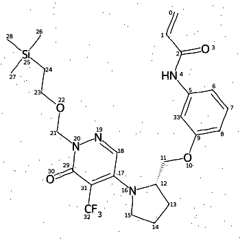 C=CC(=O)Nc1cccc(OC[C@@H]2CCCN2c2cnn(COCC[Si](C)(C)C)c(=O)c2C(F)(F)F)c1